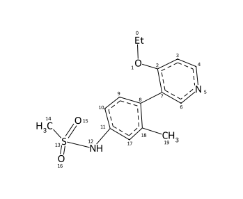 CCOc1ccncc1-c1ccc(NS(C)(=O)=O)cc1C